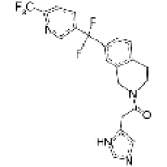 O=C(Cc1cnc[nH]1)N1CCc2ccc(C(F)(F)c3ccc(C(F)(F)F)nc3)cc2C1